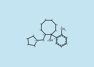 Cc1ccccc1C1(O)CCCCCCC1CN1CCCC1